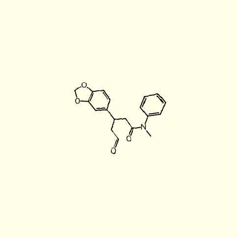 CN(C(=O)CC(CC=O)c1ccc2c(c1)OCO2)c1ccccc1